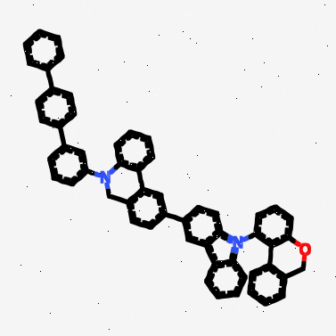 c1ccc(-c2ccc(-c3cccc(N4Cc5ccc(-c6ccc7c(c6)c6ccccc6n7-c6cccc7c6-c6ccccc6CO7)cc5-c5ccccc54)c3)cc2)cc1